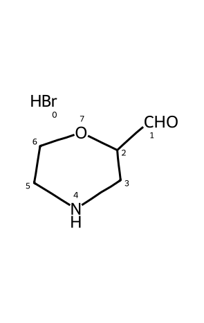 Br.O=CC1CNCCO1